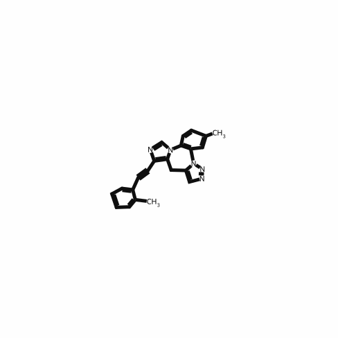 Cc1ccc2c(c1)-n1nncc1Cc1c(C#Cc3ccccc3C)ncn1-2